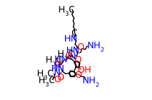 CCCCCCCCCCNCCC(=O)N[C@@H](CCCCN)C(=O)N(C)[C@@H]1C(=O)N[C@@H](C)C(=O)N[C@H](C(=O)N[C@@H](C)C(C)=O)Cc2ccc(OCCN)c(c2)-c2cc1ccc2O